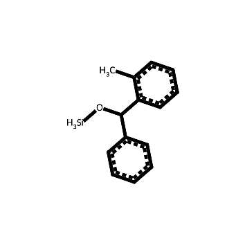 Cc1ccccc1C(O[SiH3])c1ccccc1